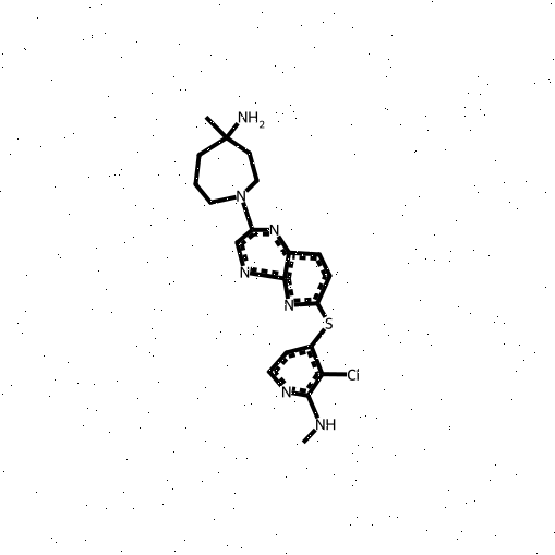 CNc1nccc(Sc2ccc3nc(N4CCCC(C)(N)CC4)cnc3n2)c1Cl